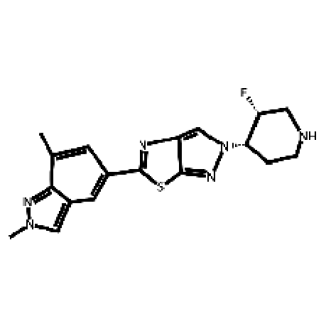 Cc1cc(-c2nc3cn([C@H]4CCNC[C@H]4F)nc3s2)cc2cn(C)nc12